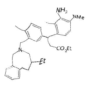 CCOC(=O)CC(c1ccc(C)c(CN2Cc3ccccc3CC(CC)C2)c1)c1ccc(NC)c(N)c1C